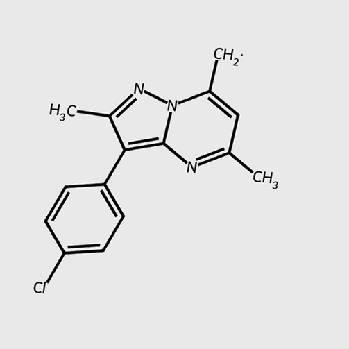 [CH2]c1cc(C)nc2c(-c3ccc(Cl)cc3)c(C)nn12